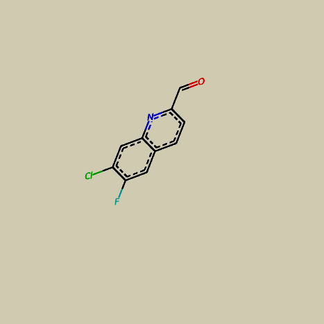 O=Cc1ccc2cc(F)c(Cl)cc2n1